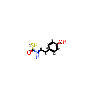 O=C(S)NCCc1ccc(O)cc1